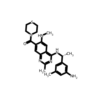 CNc1cc2c(N[C@H](C)c3cc(C)cc(N)c3)nc(C)nc2cc1C(=O)N1CCSCC1